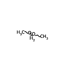 CCCCO[SiH2]OCCC